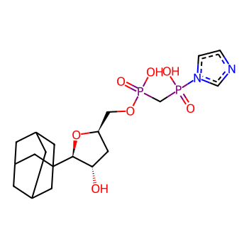 O=P(O)(CP(=O)(O)n1ccnc1)OC[C@H]1C[C@H](O)[C@@H](C23CC4CC(CC(C4)C2)C3)O1